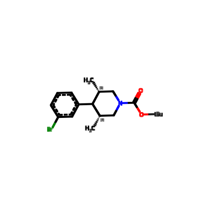 C[C@@H]1CN(C(=O)OC(C)(C)C)C[C@H](C)C1c1cccc(Br)c1